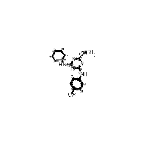 COc1nc(Nc2ccc(Cl)cc2)nc(NC2CCCCC2)n1